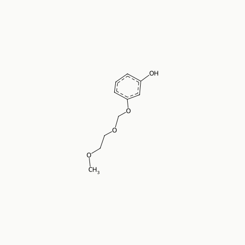 COCCOCOc1cccc(O)c1